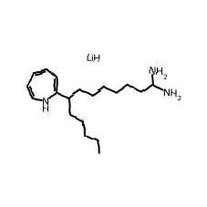 CCCCCC(CCCCCCC(N)N)C1=CC=CC=CN1.[LiH]